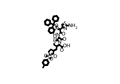 Cc1ccc(S(=O)(=O)N2CCC(=CC3=C(C(=O)O)N4C(=O)[C@@H](NC(=O)C(=NOC(c5ccccc5)(c5ccccc5)c5ccccc5)c5csc(N)n5)[C@H]4SC3)C2=O)cc1